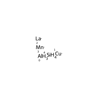 [AlH3].[Cu].[La].[Mn].[SiH4]